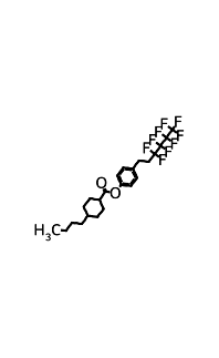 CCCCC1CCC(C(=O)Oc2ccc(CCC(F)(F)C(F)(F)C(F)(F)C(F)(F)F)cc2)CC1